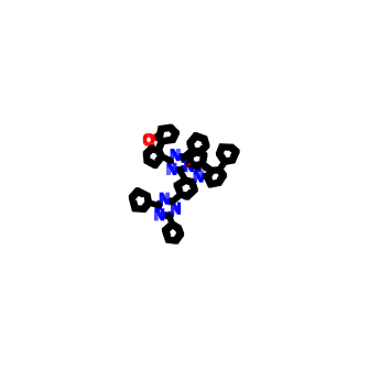 c1ccc(-c2nc(-c3ccccc3)nc(-c3ccc(-n4c5ccccc5c5c(-c6ccccc6)cccc54)c(-c4nc(-c5ccccc5)nc(-c5cccc6oc7ccccc7c56)n4)c3)n2)cc1